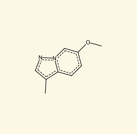 COc1ccc2c(C)cnn2c1